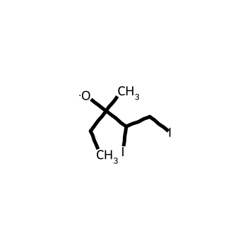 CCC(C)([O])C(I)CI